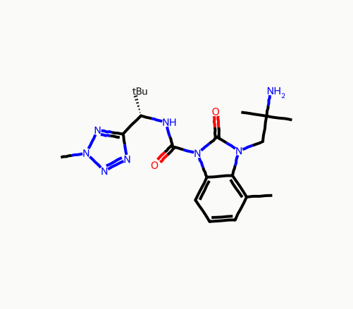 Cc1cccc2c1n(CC(C)(C)N)c(=O)n2C(=O)N[C@H](c1nnn(C)n1)C(C)(C)C